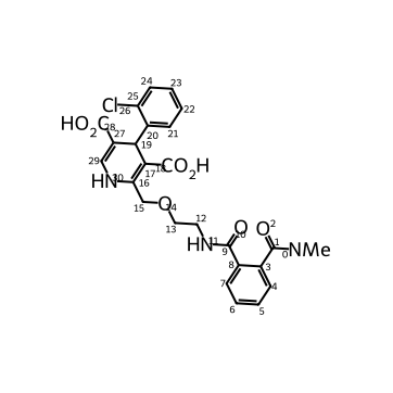 CNC(=O)c1ccccc1C(=O)NCCOCC1=C(C(=O)O)C(c2ccccc2Cl)C(C(=O)O)=CN1